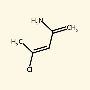 C=C(N)/C=C(\C)Cl